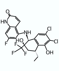 CC[C@@H]1C[C@](O)(C(F)(F)F)[C@@H](Nc2cc(F)cc3[nH]c(=O)ccc23)c2cc(Cl)c(Cl)c(O)c21